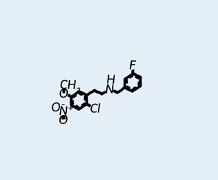 COc1cc(CCNCc2cccc(F)c2)c(Cl)cc1[N+](=O)[O-]